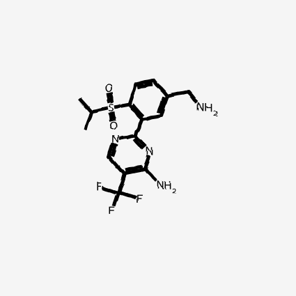 CC(C)S(=O)(=O)c1ccc(CN)cc1-c1ncc(C(F)(F)F)c(N)n1